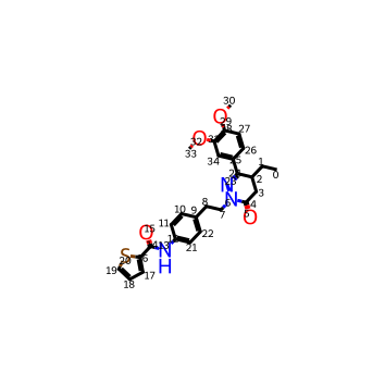 CCC1CC(=O)N(CCc2ccc(NC(=O)c3cccs3)cc2)N=C1c1ccc(OC)c(OC)c1